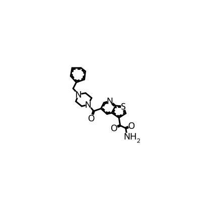 NC(=O)C(=O)c1csc2ncc(C(=O)N3CCN(Cc4ccccc4)CC3)cc12